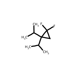 CC(C)C1(C(C)C)CC1(F)F